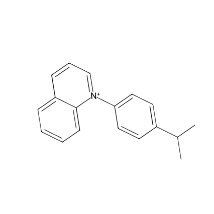 CC(C)c1ccc(-[n+]2cccc3ccccc32)cc1